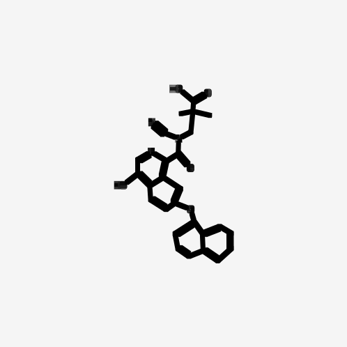 CC(C)(CN(C#N)C(=O)c1ncc(O)c2ccc(Oc3cccc4ccccc34)cc12)C(=O)O